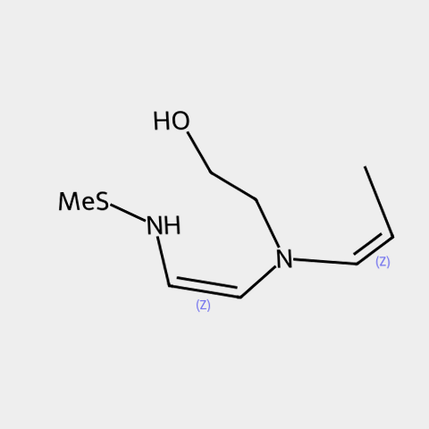 C/C=C\N(/C=C\NSC)CCO